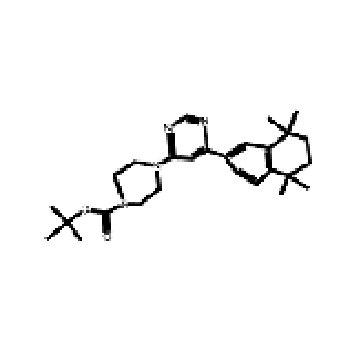 CC(C)(C)OC(=O)N1CCN(c2cc(-c3ccc4c(c3)C(C)(C)CCC4(C)C)ncn2)CC1